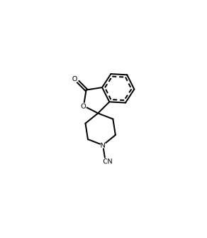 N#CN1CCC2(CC1)OC(=O)c1ccccc12